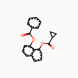 O=C(Oc1cccc2cccc(OC(=O)C3CC3)c12)c1ccccc1